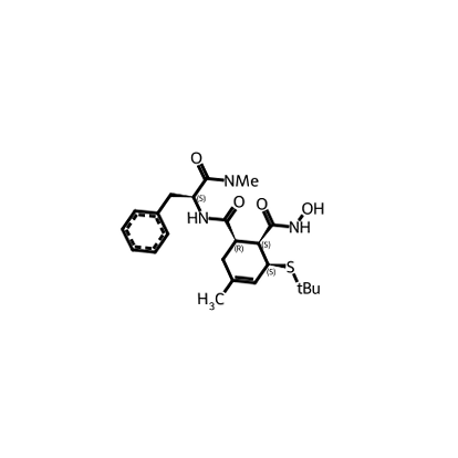 CNC(=O)[C@H](Cc1ccccc1)NC(=O)[C@@H]1CC(C)=C[C@H](SC(C)(C)C)[C@@H]1C(=O)NO